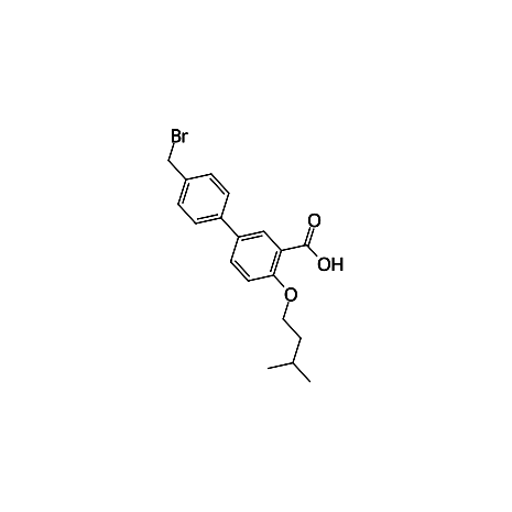 CC(C)CCOc1ccc(-c2ccc(CBr)cc2)cc1C(=O)O